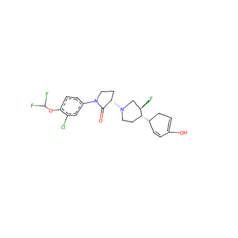 O=C1[C@@H](N2CC[C@@H](C3C=CC(O)=CC3)[C@H](F)C2)CCN1c1ccc(OC(F)F)c(Cl)c1